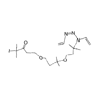 C=C/N=N\N(C=C)C(C)(C)CCOC(C)(C)CCOCCC(=O)C(C)(C)I